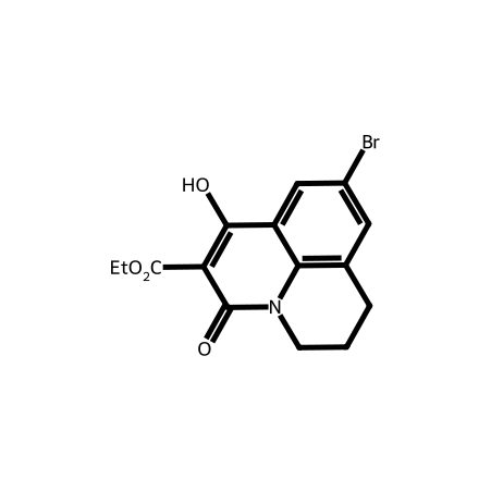 CCOC(=O)c1c(O)c2cc(Br)cc3c2n(c1=O)CCC3